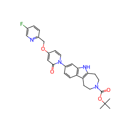 CC(C)(C)OC(=O)N1CCc2[nH]c3cc(-n4ccc(OCc5ccc(F)cn5)cc4=O)ccc3c2CC1